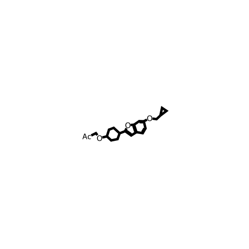 CC(=O)COC1CCC(c2cc3ccc(OCC4CC4)cc3o2)CC1